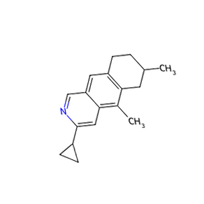 Cc1c2c(cc3cnc(C4CC4)cc13)CCC(C)C2